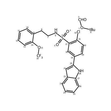 CC(C)(C)OC=O.O=S(=O)(NCCc1ccccc1OC(F)(F)F)c1cc(-c2cc3ccccc3[nH]2)ccc1Cl